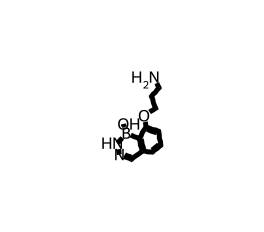 NCCCOc1cccc2c1B(O)NN=C2